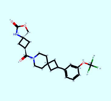 O=C1N[C@]2(CO1)C[C@H](C(=O)N1CCC3(CC1)CC(c1cccc(OC(F)(F)F)c1)C3)C2